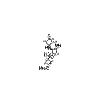 COc1ccc(S(=O)(=O)Nc2cccc3c2Nc2ccc(F)cc2CN3)cc1